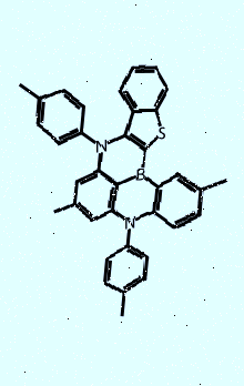 Cc1ccc(N2c3ccc(C)cc3B3c4sc5ccccc5c4N(c4ccc(C)cc4)c4cc(C)cc2c43)cc1